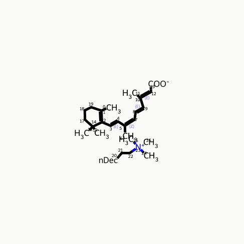 CC1=C(/C=C/C(C)=C\C=C\C(C)=C\C(=O)[O-])C(C)(C)CCC1.CCCCCCCCCCCC[N+](C)(C)C